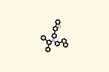 c1ccc(-c2cc(-c3ccccc3)cc(N(c3ccc(-c4ccc5c(c4)oc4ccccc45)cc3)c3cccc(-c4cccc5ccccc45)c3)c2)cc1